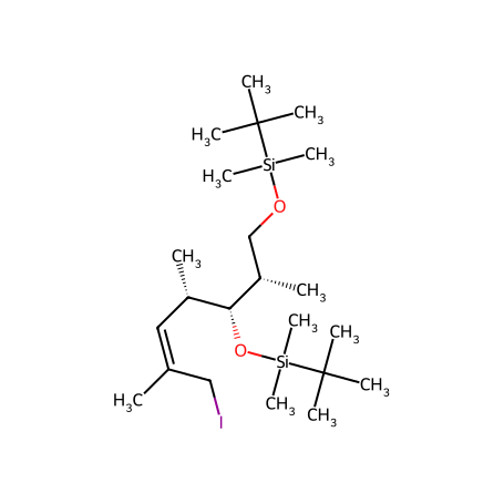 C/C(=C/[C@H](C)[C@@H](O[Si](C)(C)C(C)(C)C)[C@@H](C)CO[Si](C)(C)C(C)(C)C)CI